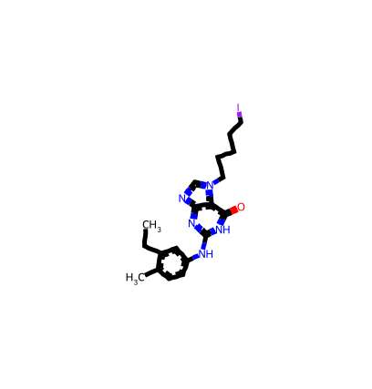 CCc1cc(Nc2nc3ncn(CCCCCI)c3c(=O)[nH]2)ccc1C